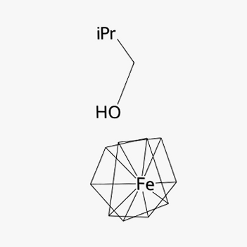 CC(C)CO.[CH]12[CH]3[CH]4[CH]5[CH]1[Fe]23451678[CH]2[CH]1[CH]6[CH]7[CH]28